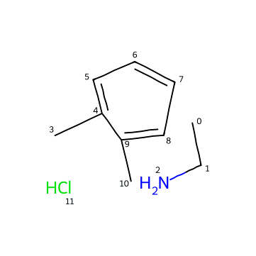 CCN.Cc1ccccc1C.Cl